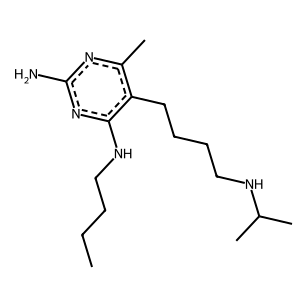 CCCCNc1nc(N)nc(C)c1CCCCNC(C)C